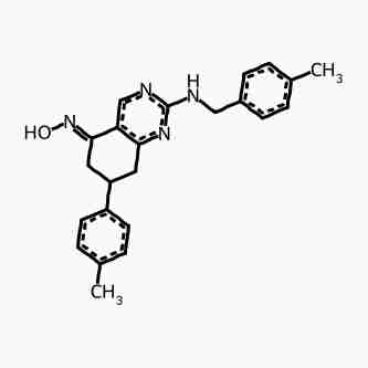 Cc1ccc(CNc2ncc3c(n2)CC(c2ccc(C)cc2)C/C3=N\O)cc1